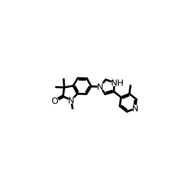 Cc1cnccc1C1=CN(c2ccc3c(c2)N(C)C(=O)C3(C)C)CN1